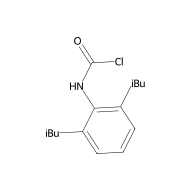 CCC(C)c1cccc(C(C)CC)c1NC(=O)Cl